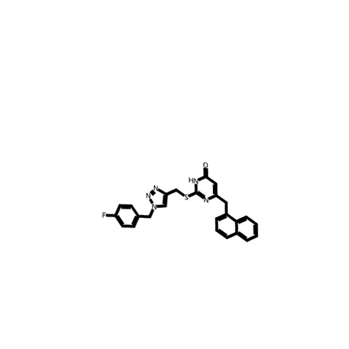 O=c1cc(Cc2cccc3ccccc23)nc(SCc2cn(Cc3ccc(F)cc3)nn2)[nH]1